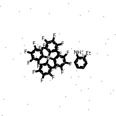 CCc1ccccc1[NH3+].Fc1c(F)c(F)c([B-](c2c(F)c(F)c(F)c(F)c2F)(c2c(F)c(F)c(F)c(F)c2F)c2c(F)c(F)c(F)c(F)c2F)c(F)c1F